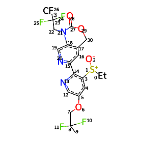 CC[S+]([O-])c1cc(OCC(C)(F)F)cnc1-c1cc2c(cn1)N(CC(F)(F)C(F)(F)F)C(=O)OC2